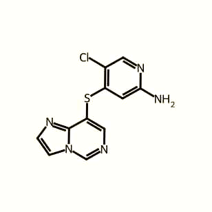 Nc1cc(Sc2cncn3ccnc23)c(Cl)cn1